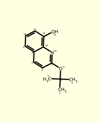 CC(C)(C)Oc1ccc2cccc(O)c2n1